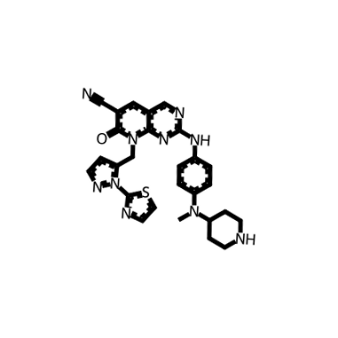 CN(c1ccc(Nc2ncc3cc(C#N)c(=O)n(Cc4ccnn4-c4nccs4)c3n2)cc1)C1CCNCC1